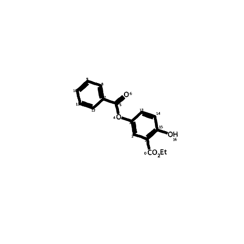 CCOC(=O)c1cc(OC(=O)c2ccccc2)ccc1O